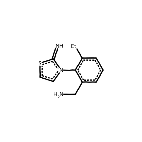 CCc1cccc(CN)c1-n1ccsc1=N